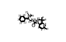 Cc1ccc2c(n1)C(C)(C)CN2C(=O)NC[C@@H](c1ccccc1)N(C)C